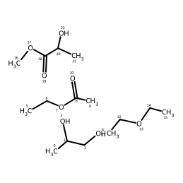 CC(O)CO.CCOC(C)=O.CCOCC.COC(=O)C(C)O